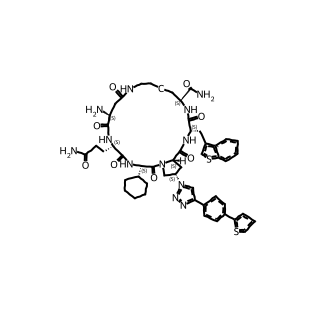 NC(=O)CC[C@@H]1NC(=O)[C@@H](N)CC(=O)NCCCC[C@@H](C(N)=O)NC(=O)[C@H](Cc2csc3ccccc23)NC(=O)[C@@H]2C[C@H](n3cc(-c4ccc(-c5cccs5)cc4)nn3)CN2C(=O)[C@H](C2CCCCC2)NC1=O